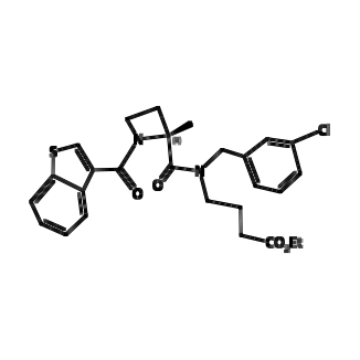 CCOC(=O)CCCN(Cc1cccc(Cl)c1)C(=O)[C@@]1(C)CCN1C(=O)c1csc2ccccc12